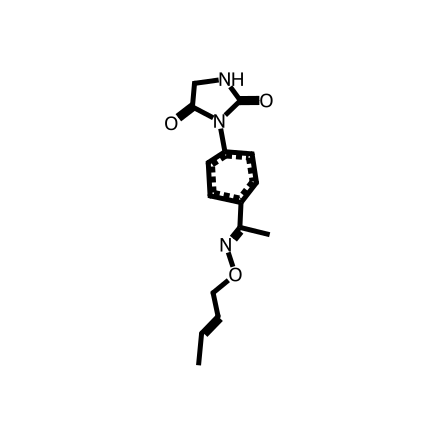 C/C=C/CO/N=C(\C)c1ccc(N2C(=O)CNC2=O)cc1